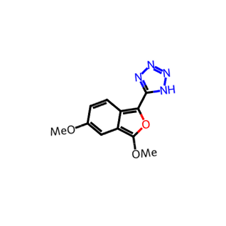 COc1ccc2c(-c3nnn[nH]3)oc(OC)c2c1